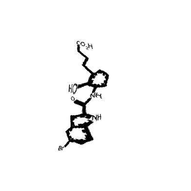 O=C(O)CCCc1cccc(NC(=O)c2cc3cc(Br)ccc3[nH]2)c1O